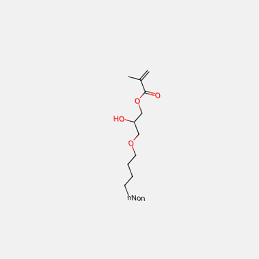 C=C(C)C(=O)OCC(O)COCCCCCCCCCCCCC